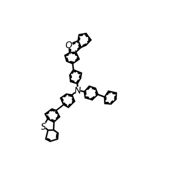 C1=CC2Sc3ccc(-c4ccc(N(c5ccc(-c6ccccc6)cc5)c5ccc(-c6ccc7oc8ccccc8c7c6)cc5)cc4)cc3C2C=C1